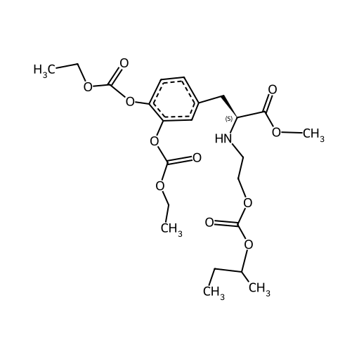 CCOC(=O)Oc1ccc(C[C@H](NCCOC(=O)OC(C)CC)C(=O)OC)cc1OC(=O)OCC